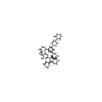 c1ccc(-c2ccc(-c3cc(-c4cccc5oc6ccc(-c7nc8ccccc8n7-c7ccccc7)cc6c45)nc(-c4ccccc4)n3)cc2)cc1